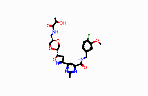 COc1cc(CNC(=O)c2cc(C3=NOC([C@H]4CO[C@H](CNC(=O)C(C)O)CO4)C3)nc(C)n2)ccc1F